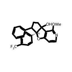 COc1nccc2c1C1(O)CCC(c3ccccc3)[C@]1(c1ccc(C(F)(F)F)cc1)O2